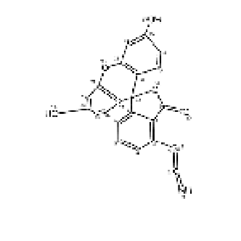 N=C=[SH]c1cccc2c1C(=O)OC21c2ccc(O)cc2Oc2cc(O)ccc21